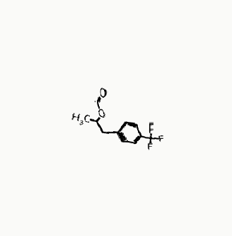 CC(Cc1ccc(C(F)(F)F)cc1)O[C]=O